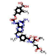 COC(=O)CC[C@H](NC(=O)c1ccc(N(C)Cc2cnc3nc(N)nc(NC(=O)OCc4ccc(B(O)O)c(C)c4)c3n2)cc1)C(O)OC